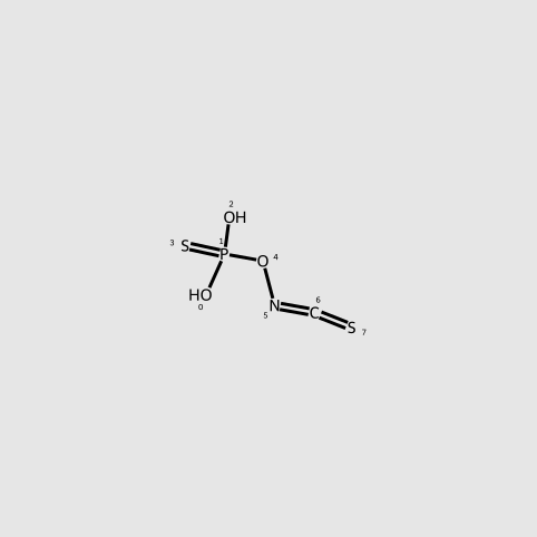 OP(O)(=S)ON=C=S